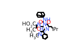 Cc1oc([C@@H](Cc2cn(C)c3ccccc23)N(C(=O)NC2C3CC4CC(C3)CC2C4)C(=O)C(N)CC(C)C)nc1C(=O)O